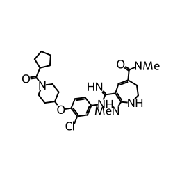 CNC(=O)C1=CC(C(=N)Nc2ccc(OC3CCN(C(=O)C4CCCC4)CC3)c(Cl)c2)=C(NC)NCC1